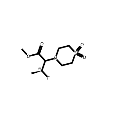 COC(=O)C([C@H](C)F)N1CCS(=O)(=O)CC1